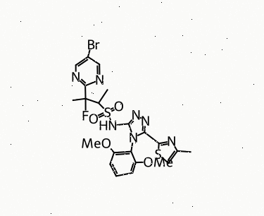 COc1cccc(OC)c1-n1c(NS(=O)(=O)C(C)C(C)(F)c2ncc(Br)cn2)nnc1-c1nc(C)cs1